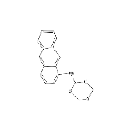 c1ccc2cc3c(NC4OCOCO4)cccc3cc2c1